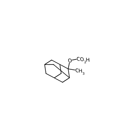 CC1(OC(=O)O)C2CC3CC(C2)CC1C3